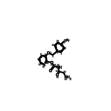 CCCc1ccc(COc2cccnc2OC(=O)NC(=O)CN)cc1